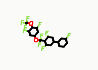 FC1CCCC(C2CC(F)C(C(F)(F)OC3CC(F)C(OC(F)(F)F)C(F)C3)C(F)C2)C1